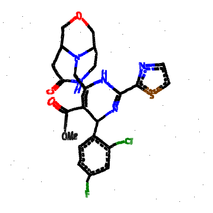 COC(=O)C1=C(CN2C3CNC(=O)CC2COC3)NC(c2nccs2)=NC1c1ccc(F)cc1Cl